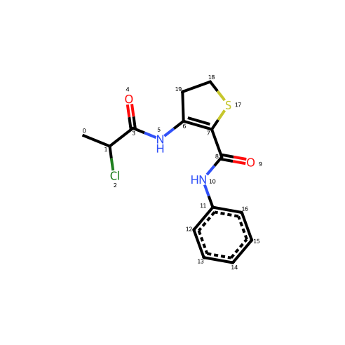 CC(Cl)C(=O)NC1=C(C(=O)Nc2ccccc2)SCC1